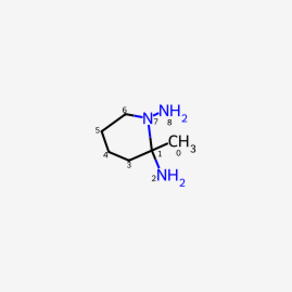 CC1(N)CCCCN1N